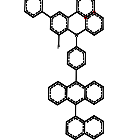 Fc1cc(-c2ccccc2)cc(-c2ccccc2)c1N(c1ccccc1)c1ccc(-c2c3ccccc3c(-c3cccc4ccccc34)c3ccccc23)cc1